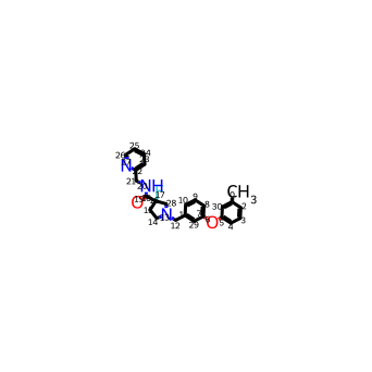 Cc1cccc(Oc2cccc(CN3CCC(F)(C(=O)NCc4ccccn4)C3)c2)c1